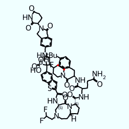 CC(C)(C)c1ccc(CC(NC(=O)C(CCC(N)=O)NC(=O)[C@@H]2CC[C@@H]3CCN(CC(F)F)C[C@H](NC(=O)c4cc5cc(C(F)(F)P(=O)(O)O)ccc5s4)C(=O)N32)C(=O)N2CCC(CCNc3ccc4c(c3)CN(C3CCC(=O)NC3=O)C4=O)CC2)cc1